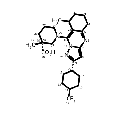 CC1CCCc2nc3cc([C@H]4CC[C@H](C(F)(F)F)CC4)nn3c(N3CCC[C@@](C)(C(=O)O)C3)c21